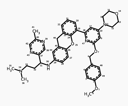 COc1ccc(COc2cc(N3CCOCC3)cc(-c3cccc4c3Oc3ccc(NC(CCN(C)C)c5cnc(C)cn5)cc3C4)n2)cc1